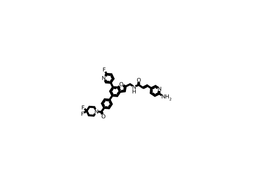 Nc1ccc(/C=C/C(=O)NCc2cc3cc(-c4ccc(C(=O)N5CCC(F)(F)CC5)cc4)cc(-c4ccc(F)nc4)c3o2)cn1